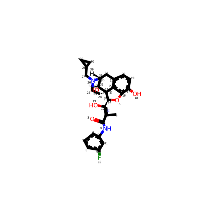 C/C(C(=O)Nc1cccc(F)c1)=C(/O)[C@@H]1Oc2c(O)ccc3c2[C@@]12CCN(CC1CC1)[C@H](C3)[C@@]2(C)O